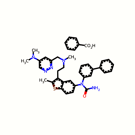 Cc1sc2ccc(N(C(N)=O)c3cccc(-c4ccccc4)c3)cc2c1CCN(C)Cc1cc(N(C)C)cnn1.O=C(O)c1ccccc1